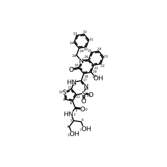 O=C(NC(CO)CO)c1csc2c1S(=O)(=O)N=C(c1c(O)c3ccccc3n(Cc3ccccc3)c1=O)N2